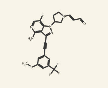 COc1cc(C#Cc2nn(C3CCN(C=CC=O)C3)c3c(Cl)cnc(N)c23)cc(C(F)(F)F)c1